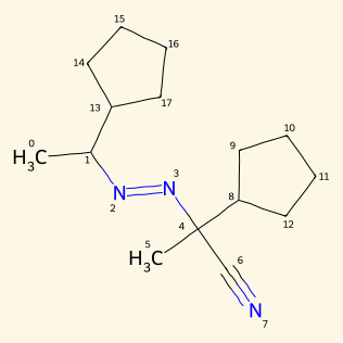 CC(N=NC(C)(C#N)C1CCCC1)C1CCCC1